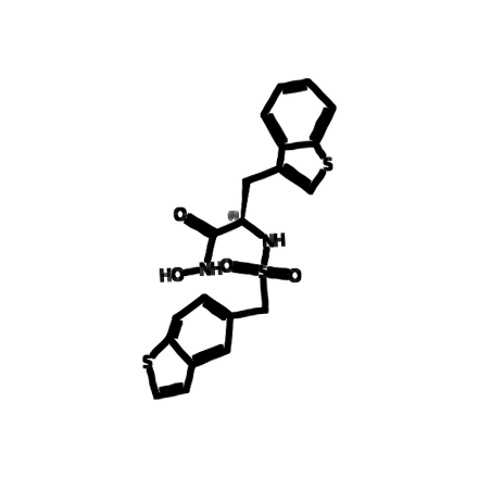 O=C(NO)[C@@H](Cc1csc2ccccc12)NS(=O)(=O)Cc1ccc2sccc2c1